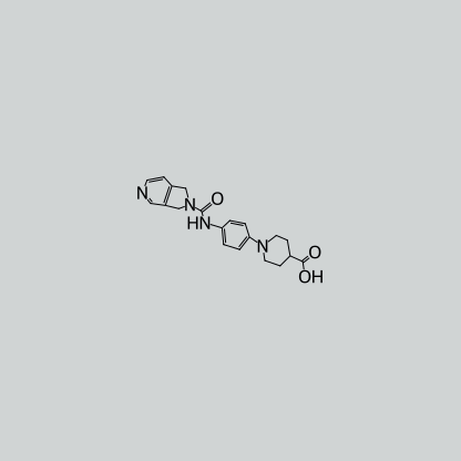 O=C(O)C1CCN(c2ccc(NC(=O)N3Cc4ccncc4C3)cc2)CC1